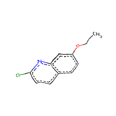 CCOc1ccc2ccc(Cl)nc2c1